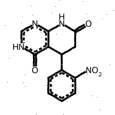 O=C1CC(c2ccccc2[N+](=O)[O-])c2c(nc[nH]c2=O)N1